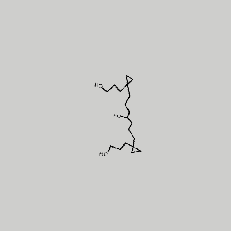 OCCCC1(CCCC(O)CCCC2(CCCO)CC2)CC1